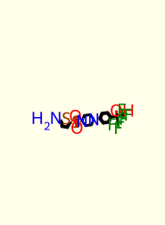 Nc1ccc(S(=O)(=O)N2CCN(c3ccc(C(O)(C(F)(F)F)C(F)(F)F)cc3)CC2)s1